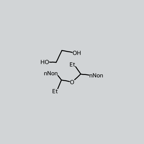 CCCCCCCCCC(CC)OC(CC)CCCCCCCCC.OCCO